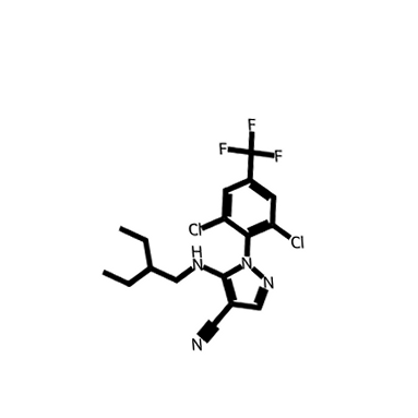 CCC(CC)CNc1c(C#N)cnn1-c1c(Cl)cc(C(F)(F)F)cc1Cl